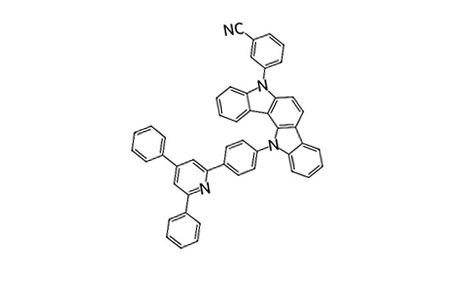 N#Cc1cccc(-n2c3ccccc3c3c2ccc2c4ccccc4n(-c4ccc(-c5cc(-c6ccccc6)cc(-c6ccccc6)n5)cc4)c23)c1